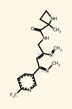 C=N/C(=C\C(=N/C)c1ccc(C(F)(F)F)nc1)CNC(=O)C1(C)CCN1